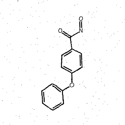 O=NC(=O)c1ccc(Oc2ccccc2)cc1